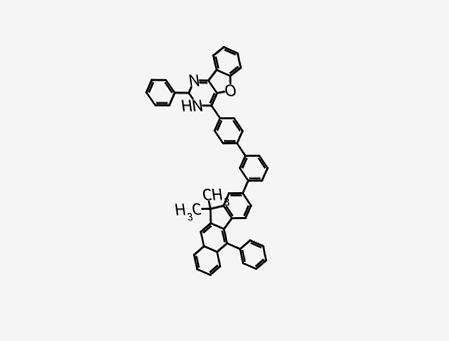 CC1(C)C2=CC3C=CC=CC3C(c3ccccc3)=C2c2ccc(-c3cccc(-c4ccc(C5=c6oc7ccccc7c6=NC(c6ccccc6)N5)cc4)c3)cc21